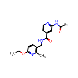 CCC(=O)Nc1cc(C(=O)NCc2ccc(OCC(F)(F)F)nc2C)ccn1